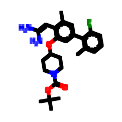 Cc1cc(-c2c(C)cccc2F)cc(OC2CCN(C(=O)OC(C)(C)C)CC2)c1C=C(N)N